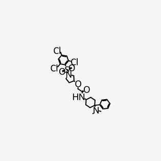 CN(C)C1(c2ccccc2)CCC(NC(=O)COC2CCN(S(=O)(=O)c3c(Cl)cc(Cl)cc3Cl)C2)CC1